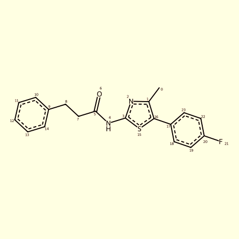 Cc1nc(NC(=O)CCc2ccccc2)sc1-c1ccc(F)cc1